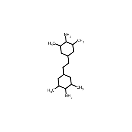 CC1CC(CCC2CC(C)C(N)C(C)C2)CC(C)C1N